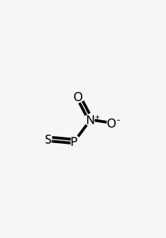 O=[N+]([O-])P=S